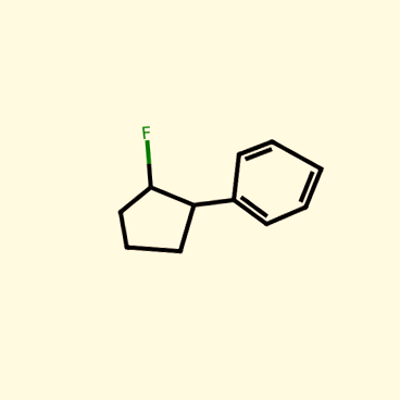 FC1CCC[C]1c1ccccc1